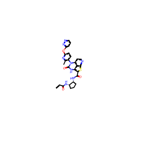 C=CC(=O)N[C@H]1CCC[C@H]1NC(=O)c1sc2nccc3c2c1NC(=O)N3c1ccc(Oc2cccnn2)nc1C